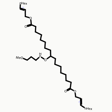 CCCCCC/C=C/COC(=O)CCCCCCCC(CCCCCCCC(=O)OC/C=C/CCCCCC)OPCCCOC